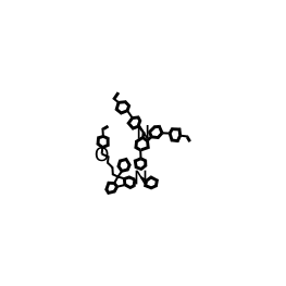 C=Cc1ccc(OCCCCC2(c3ccccc3)c3ccccc3-c3ccc(N(c4ccccc4)c4ccc(-c5ccc6c(c5)c5cc(-c7ccc(C=C)cc7)ccc5n6-c5ccc(-c6ccc(C=C)cc6)cc5)cc4)cc32)cc1